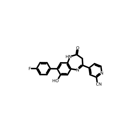 N#Cc1cc(C2=Nc3cc(O)c(-c4ccc(F)cc4)cc3NC(=O)C2)ccn1